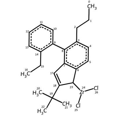 CCCc1ccc2c(c1-c1ccccc1CC)C=C(C(C)(C)C)[CH]2[Zr]([Cl])[Cl]